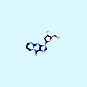 O=c1c2ncn(C3C[C@H](O)[C@@H](CO)O3)c2nc2ncccn12